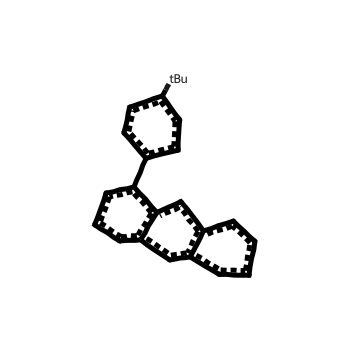 CC(C)(C)c1ccc(-c2cccc3cc4ccccc4cc23)cc1